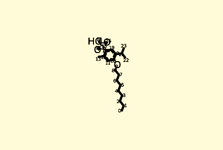 CCCCCCCCCOc1cc(C)c(S(=O)(=O)O)cc1C(C)C